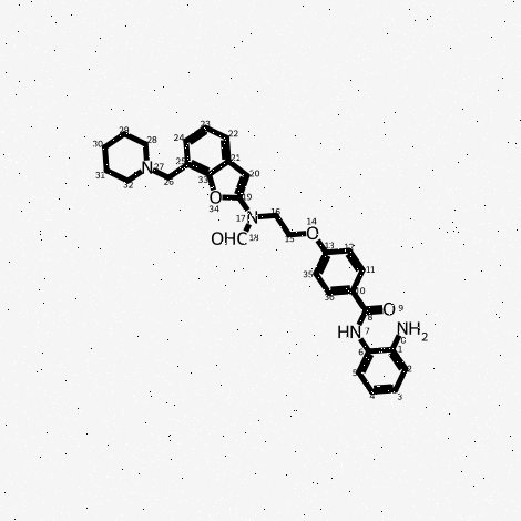 Nc1ccccc1NC(=O)c1ccc(OCCN(C=O)c2cc3cccc(CN4CCCCC4)c3o2)cc1